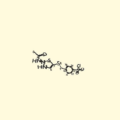 CC(=O)NN1NC=C(SCc2ccc(S(=O)(=O)Cl)cc2)S1